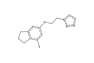 Fc1cc(OCCn2ccnn2)cc2c1CCC2